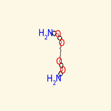 Nc1ccc(Oc2ccc(OCCCCCCCCOc3ccc(Oc4ccc(N)cc4)cc3)cc2)cc1